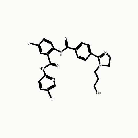 O=C(Nc1ccc(Cl)cc1C(=O)Nc1ccc(Cl)cn1)c1ccc(C2=NCCN2CCCO)cc1